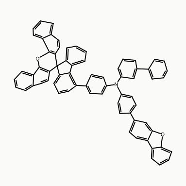 c1ccc(-c2cccc(N(c3ccc(-c4ccc5c(c4)oc4ccccc45)cc3)c3ccc(-c4cccc5c4-c4ccccc4C54c5ccc6ccccc6c5Oc5c4ccc4ccccc54)cc3)c2)cc1